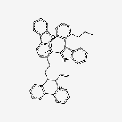 C=CC1C(CCc2ccc3c(oc4ccccc43)c2-c2nc3ccccc3n2-c2c(CCC)cccc2CCC)c2ccccc2-c2cccc[n+]21